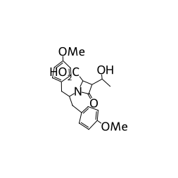 COc1ccc(CC(Cc2ccc(OC)cc2)N2C(=O)C(C(C)O)C2C(=O)O)cc1